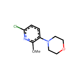 COc1nc(Cl)ccc1N1CCOCC1